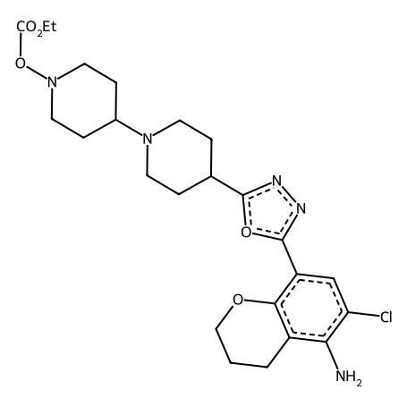 CCOC(=O)ON1CCC(N2CCC(c3nnc(-c4cc(Cl)c(N)c5c4OCCC5)o3)CC2)CC1